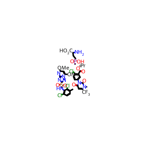 CC(C)OC(=O)c1cc(-n2c(=O)cc(C(F)(F)F)n(C)c2=O)ccc1Cl.COc1cc(OC)n2nc(S(=O)(=O)Nc3c(Cl)ccc(C)c3Cl)nc2n1.CP(=O)(O)CCC(N)C(=O)O